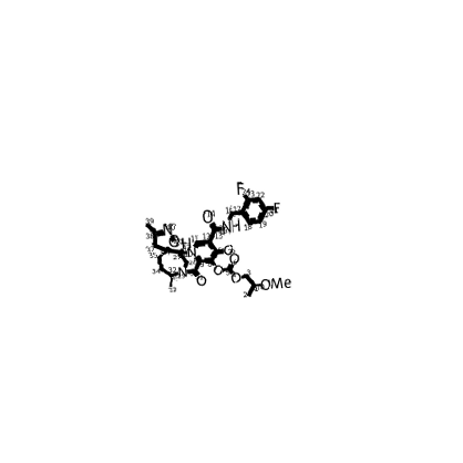 CO[C@@H](C)COC(=O)Oc1c2n(cc(C(=O)NCc3ccc(F)cc3F)c1=O)[C@@H]1CN(C2=O)[C@@H](C)CC[C@]12CC(C)=NO2